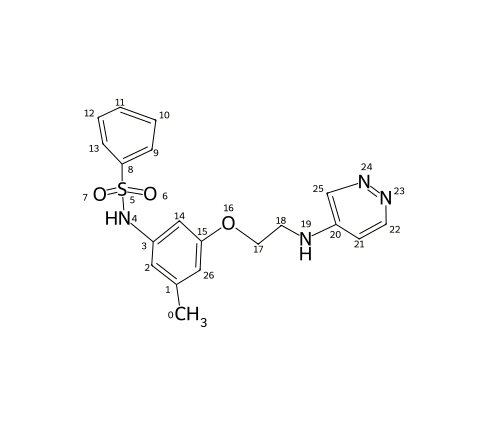 Cc1cc(NS(=O)(=O)c2ccccc2)cc(OCCNc2ccnnc2)c1